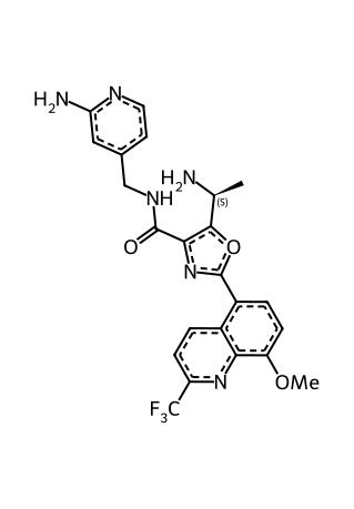 COc1ccc(-c2nc(C(=O)NCc3ccnc(N)c3)c([C@H](C)N)o2)c2ccc(C(F)(F)F)nc12